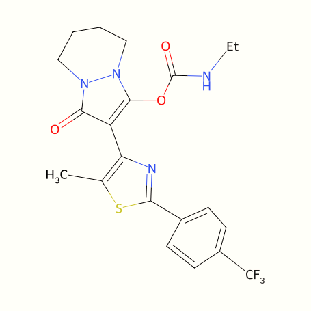 CCNC(=O)Oc1c(-c2nc(-c3ccc(C(F)(F)F)cc3)sc2C)c(=O)n2n1CCCC2